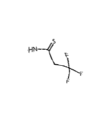 [NH]C(=S)CC(F)(F)F